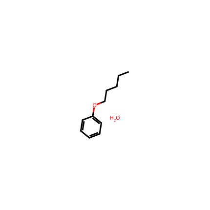 CCCCCOc1ccccc1.O